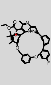 CCOC(=O)[C@@H](OC(C)(C)C)c1c(C)nc2cc3nn2c1-c1ccc(C)c(c1)OCc1cccc(c1)Oc1cc(F)ccc1-c1cccc-3c1